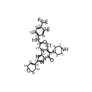 CCc1c(N2CCNCC2)c(=O)n2nc(C3=CCOCC3)nc2n1CC(=O)Nc1cc(F)c(C(F)F)cc1C